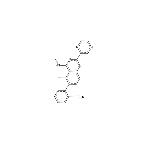 CNc1nc(-c2cnccn2)nc2ccc(-c3ccccc3C#N)c(F)c12